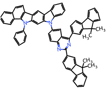 CC1(C)c2ccccc2-c2ccc(-c3nc(-c4ccc5c(c4)C(C)(C)c4ccccc4-5)c4cc(-n5c6ccccc6c6cc7c8ccc9ccccc9c8n(-c8ccccc8)c7cc65)ccc4n3)cc21